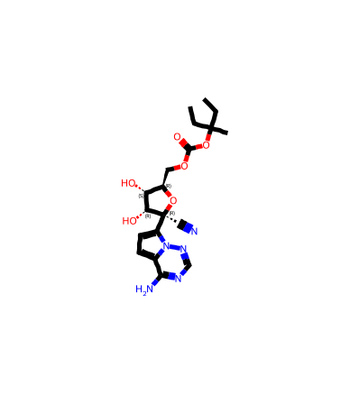 CCC(C)(CC)OC(=O)OC[C@H]1O[C@@](C#N)(c2ccc3c(N)ncnn23)[C@H](O)[C@@H]1O